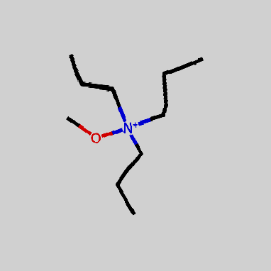 CCC[N+](CCC)(CCC)OC